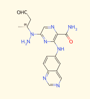 C[C@H](CC=O)N(N)c1cnc(C(N)=O)c(Nc2ccc3ncncc3c2)n1